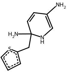 NC1=CNC(N)(Cc2cccs2)C=C1